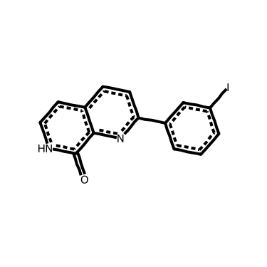 O=c1[nH]ccc2ccc(-c3cccc(I)c3)nc12